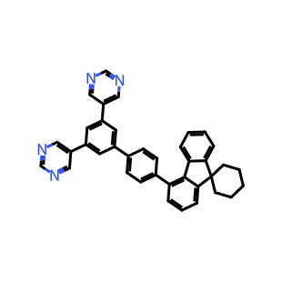 c1ccc2c(c1)-c1c(-c3ccc(-c4cc(-c5cncnc5)cc(-c5cncnc5)c4)cc3)cccc1C21CCCCC1